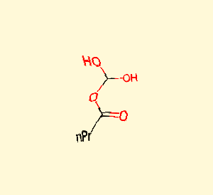 CCCC(=O)OC(O)O